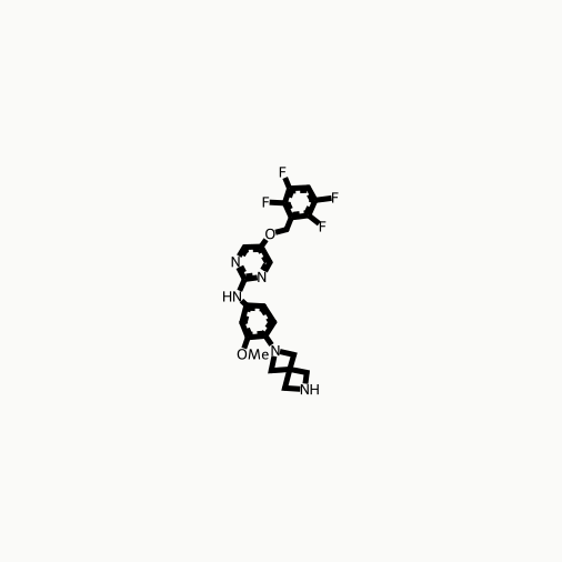 COc1cc(Nc2ncc(OCc3c(F)c(F)cc(F)c3F)cn2)ccc1N1CC2(CNC2)C1